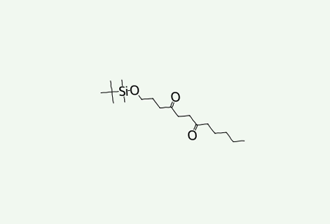 CCCCCC(=O)CCC(=O)CCCO[Si](C)(C)C(C)(C)C